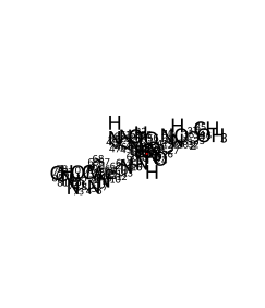 COc1cc(CN2CCN(C3CC4(CCN(c5cnc(C(=O)NS(=O)(=O)c6ccc(NC[C@H]7CC[C@](C)(O)CC7)c([N+](=O)[O-])c6)c(N6c7cc8cc[nH]c8nc7O[C@H]7COCC[C@@H]76)c5)CC4)C3)[C@H](c3ccccc3C)C2)cnc1N1CCOCC1